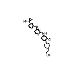 N#CC1(c2cccc(Nc3ccnc(Nc4ccc(N5CCN(CCO)CC5)c(Cl)c4)n3)c2)CC1